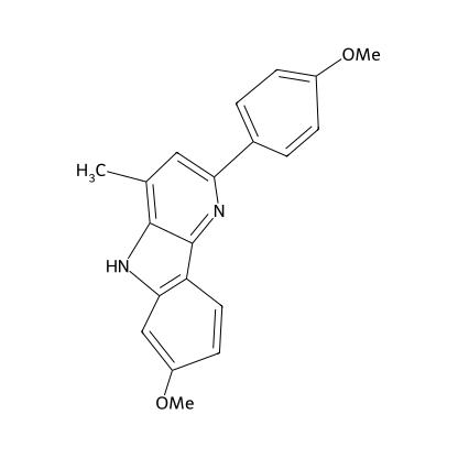 COc1ccc(-c2cc(C)c3[nH]c4cc(OC)ccc4c3n2)cc1